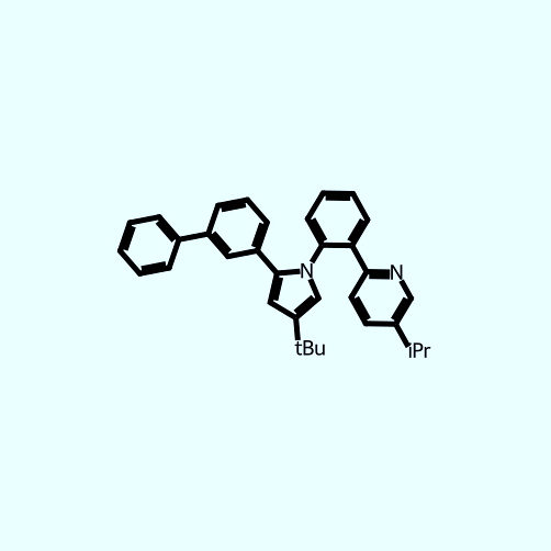 CC(C)c1ccc(-c2ccccc2-n2cc(C(C)(C)C)cc2-c2cccc(-c3ccccc3)c2)nc1